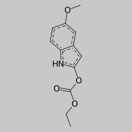 CCOC(=O)Oc1cc2cc(OC)ccc2[nH]1